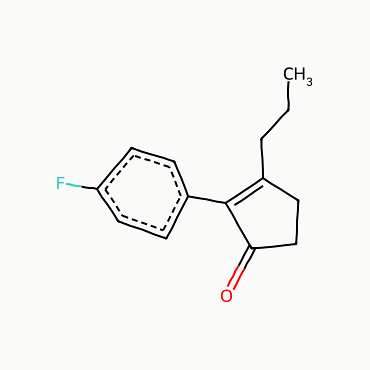 CCCC1=C(c2ccc(F)cc2)C(=O)CC1